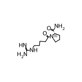 N=C(N)NCCCCC(=O)N1CCC[C@H]1C(N)=O